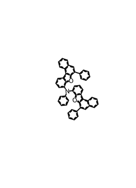 c1ccc(-c2cc3ccccc3c3c2oc2c(N(c4ccccc4)c4cccc5c4oc4c(-c6ccccc6)cc6ccccc6c45)cccc23)cc1